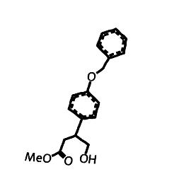 COC(=O)CC(CO)c1ccc(OCc2ccccc2)cc1